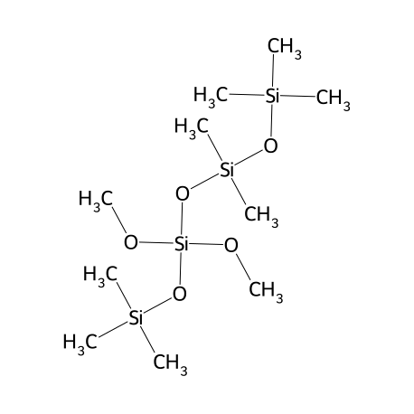 CO[Si](OC)(O[Si](C)(C)C)O[Si](C)(C)O[Si](C)(C)C